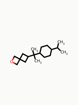 CC(C)C1CCC(C(C)(C)C2CC3(COC3)C2)CC1